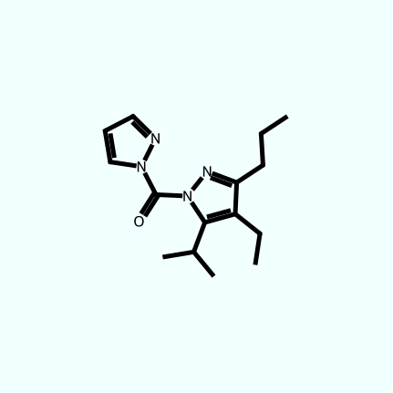 CCCc1nn(C(=O)n2cccn2)c(C(C)C)c1CC